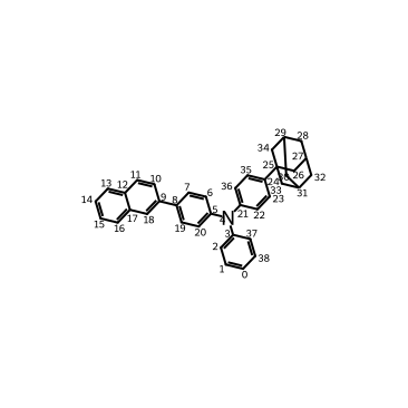 c1ccc(N(c2ccc(-c3ccc4ccccc4c3)cc2)c2ccc(C34CC5CC(CC(C5)C3)C4)cc2)cc1